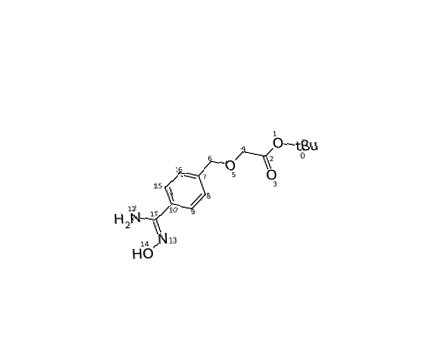 CC(C)(C)OC(=O)COCc1ccc(/C(N)=N/O)cc1